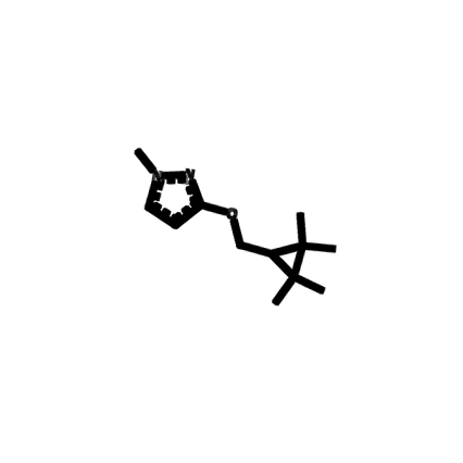 Cn1ccc(OCC2C(C)(C)C2(C)C)n1